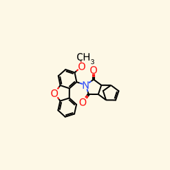 COc1ccc2oc3ccccc3c2c1N1C(=O)C2C3C=CC(C3)C2C1=O